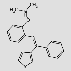 C[SiH](C)Oc1ccccc1N=C(c1ccccc1)c1ccsc1